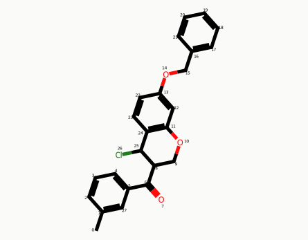 Cc1cccc(C(=O)C2COc3cc(OCc4ccccc4)ccc3C2Cl)c1